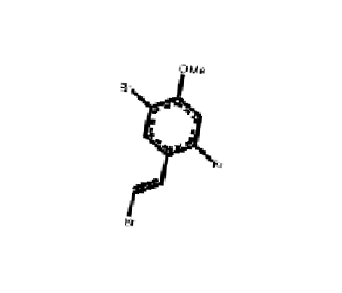 COc1cc(Br)c(C=CBr)cc1Br